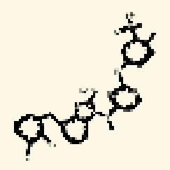 CC(=O)Nc1nc2c(Cc3cccc(Cl)c3C(F)(F)F)cccc2n1N(C)c1ccnc(Nc2ccc(C)c(S(N)(=O)=O)c2)n1